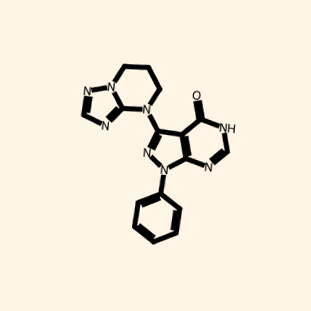 O=c1[nH]cnc2c1c(N1CCCn3ncnc31)nn2-c1ccccc1